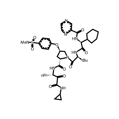 CCC[C@H](NC(=O)[C@@H]1C[C@@H](Oc2ccc(S(=O)(=O)NC)cc2)CN1C(=O)[C@@H](NC(=O)[C@@H](NC(=O)c1cnccn1)C1CCCCC1)C(C)(C)C)C(=O)C(=O)NC1CC1